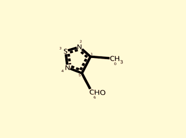 Cc1nsnc1C=O